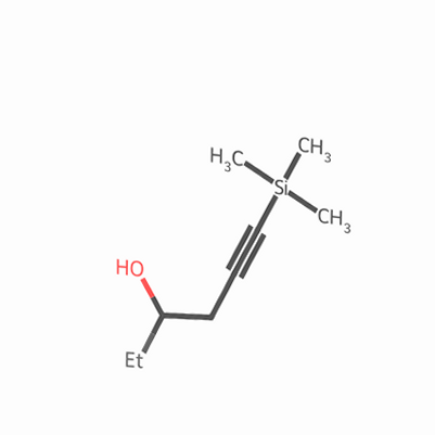 CCC(O)CC#C[Si](C)(C)C